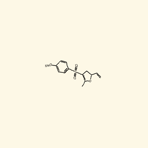 C=CC1CC(S(=O)(=O)c2ccc(OC)cc2)=C(C)O1